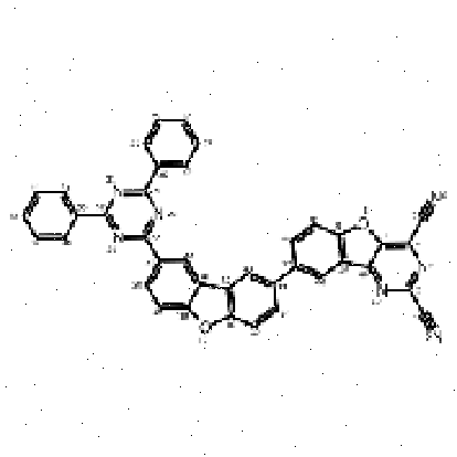 N#Cc1nc(C#N)c2oc3ccc(-c4ccc5oc6ccc(-c7nc(-c8ccccc8)nc(-c8ccccc8)n7)cc6c5c4)cc3c2n1